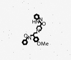 COc1ccc(C(CCN2CCC(C(=O)c3nc4ccccc4[nH]3)CC2)CN(C)C(=O)c2ccccc2)cc1